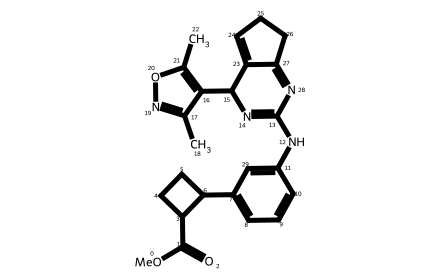 COC(=O)C1CCC1c1cccc(NC2=NC(c3c(C)noc3C)C3=CCCC3=N2)c1